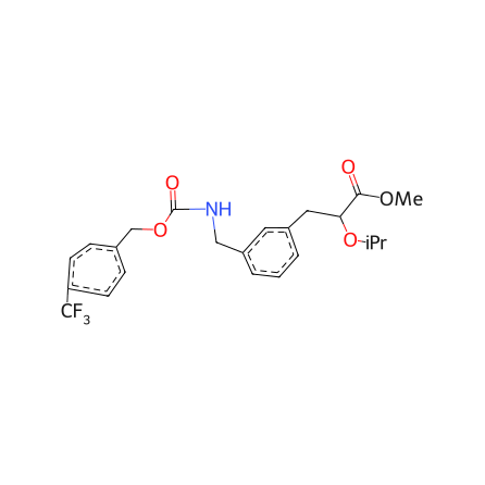 COC(=O)C(Cc1cccc(CNC(=O)OCc2ccc(C(F)(F)F)cc2)c1)OC(C)C